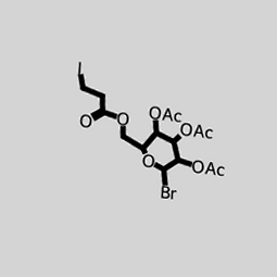 CC(=O)OC1C(Br)OC(COC(=O)CCI)C(OC(C)=O)C1OC(C)=O